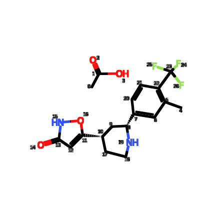 CC(=O)O.Cc1cc([C@H]2C[C@@H](c3cc(=O)[nH]o3)CCN2)ccc1C(F)(F)F